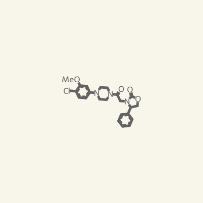 COc1cc(N2CCN(C(=O)CN3C(=O)OCC3c3ccccc3)CC2)ccc1Cl